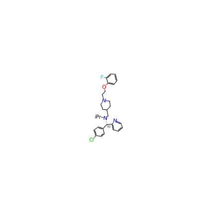 CC(C)N(CC1CCN(CCOc2ccccc2F)CC1)[C@@H](c1ccc(Cl)cc1)c1ccccn1